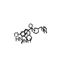 C=C1Nc2c(Cl)cc3cc(C(=O)N4CCCC(Cn5ccnc5)C4)oc3c2C2(CCCCC2)N1